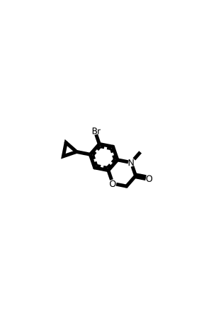 CN1C(=O)COc2cc(C3CC3)c(Br)cc21